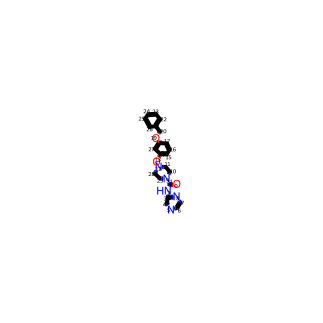 O=C(Nc1cnccn1)N1CCN(Oc2cccc(OCc3ccccc3)c2)CC1